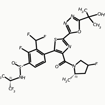 C[C@H](N[S+]([O-])c1ccc(-c2sc(-c3nnc(C(C)(C)O)o3)nc2C(=O)N2CC(F)C[C@@H]2C)c(C(F)F)c1F)C(F)(F)F